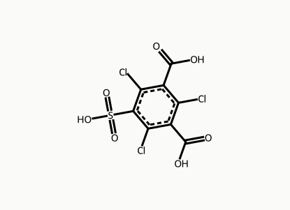 O=C(O)c1c(Cl)c(C(=O)O)c(Cl)c(S(=O)(=O)O)c1Cl